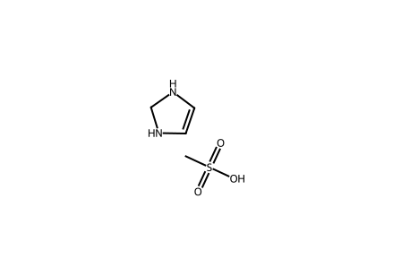 C1=CNCN1.CS(=O)(=O)O